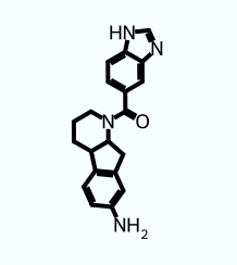 Nc1ccc2c(c1)CC1C2CCCN1C(=O)c1ccc2[nH]cnc2c1